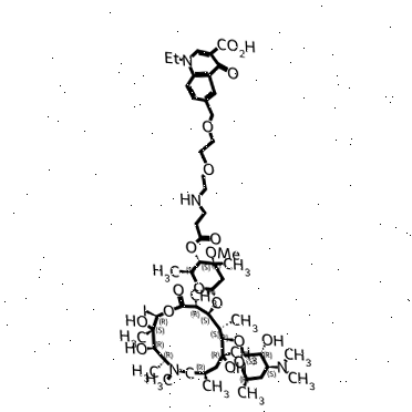 CCn1cc(C(=O)O)c(=O)c2cc(COCCOCCNCCC(=O)O[C@H]3[C@H](C)O[C@@H](O[C@H]4[C@H](C)[C@@H](O[C@@H]5O[C@H](C)C[C@H](N(C)C)[C@H]5O)[C@](C)(O)C[C@@H](C)CN(C)[C@H](C)[C@@H](O)[C@](C)(O)[C@@H](I)OC(=O)[C@@H]4C)C[C@@]3(C)OC)ccc21